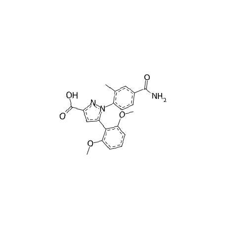 COc1cccc(OC)c1-c1cc(C(=O)O)nn1-c1ccc(C(N)=O)cc1C